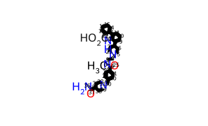 CN(CCN1CCC(c2cccc(-c3ccccc3)c2NC(=O)O)CC1)C(=O)c1ccc(CN2CCC(C(N)=O)CC2)cc1